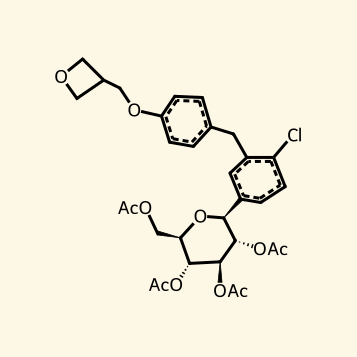 CC(=O)OC[C@H]1O[C@@H](c2ccc(Cl)c(Cc3ccc(OCC4COC4)cc3)c2)[C@H](OC(C)=O)[C@@H](OC(C)=O)[C@@H]1OC(C)=O